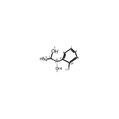 CCCCC(O)[C@@H](O)c1ccccc1I